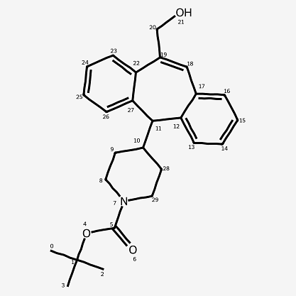 CC(C)(C)OC(=O)N1CCC(C2c3ccccc3C=C(CO)c3ccccc32)CC1